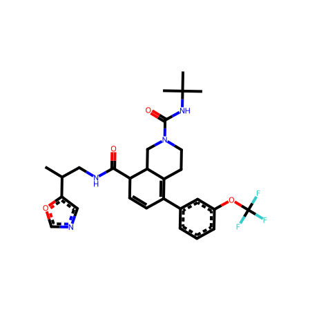 CC(CNC(=O)C1C=CC(c2cccc(OC(F)(F)F)c2)=C2CCN(C(=O)NC(C)(C)C)CC21)c1cnco1